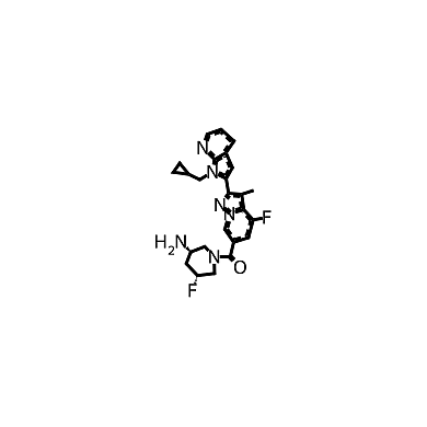 Cc1c(-c2cc3cccnc3n2CC2CC2)nn2cc(C(=O)N3C[C@H](N)C[C@@H](F)C3)cc(F)c12